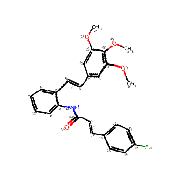 COc1cc(/C=C/c2ccccc2NC(=O)/C=C/c2ccc(F)cc2)cc(OC)c1OC